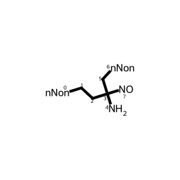 CCCCCCCCCCCC(N)(CCCCCCCCCC)N=O